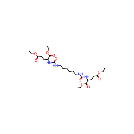 CCOC(=O)CCC(NC(=O)NCCCCCCNC(=O)NC(CCC(=O)OCC)C(=O)OCC)C(=O)OCC